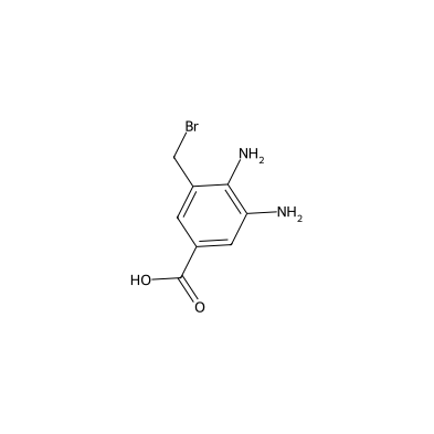 Nc1cc(C(=O)O)cc(CBr)c1N